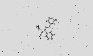 N#CC(C#N)C(CCc1ccccc1)c1ccccc1